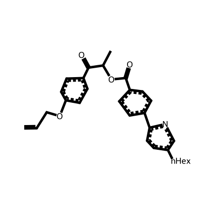 C=CCOc1ccc(C(=O)C(C)OC(=O)c2ccc(-c3ccc(CCCCCC)cn3)cc2)cc1